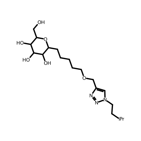 CC(C)CCn1cc(COCCCCCC2OC(CO)C(O)C(O)C2O)nn1